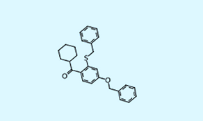 O=C(c1ccc(OCc2ccccc2)cc1SCc1ccccc1)C1CCCCC1